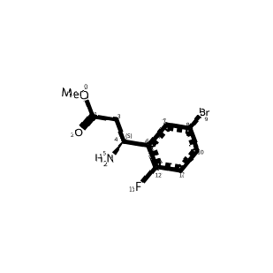 COC(=O)C[C@H](N)c1cc(Br)ccc1F